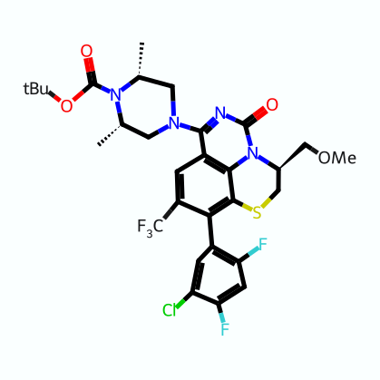 COC[C@H]1CSc2c(-c3cc(Cl)c(F)cc3F)c(C(F)(F)F)cc3c(N4C[C@@H](C)N(C(=O)OC(C)(C)C)[C@@H](C)C4)nc(=O)n1c23